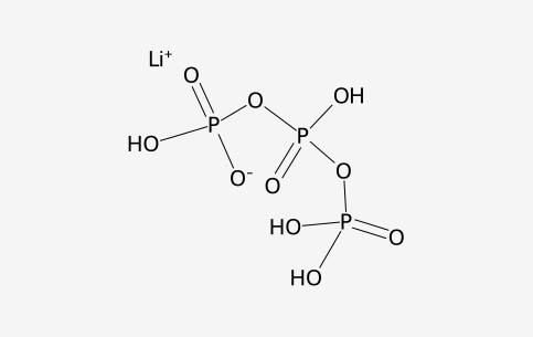 O=P([O-])(O)OP(=O)(O)OP(=O)(O)O.[Li+]